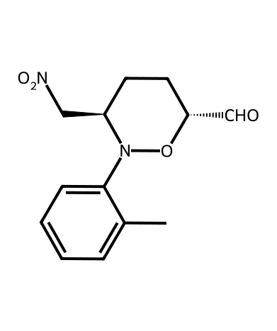 Cc1ccccc1N1O[C@@H](C=O)CC[C@@H]1C[N+](=O)[O-]